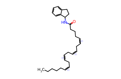 CCCCC/C=C\C/C=C\C/C=C\C/C=C\CCCC(=O)NC1CCc2ccccc21